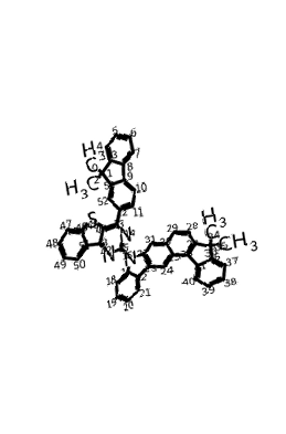 CC1(C)c2ccccc2-c2ccc(-c3nc(-n4c5ccccc5c5cc6c7c(ccc6cc54)C(C)(C)c4ccccc4-7)nc4c3sc3ccccc34)cc21